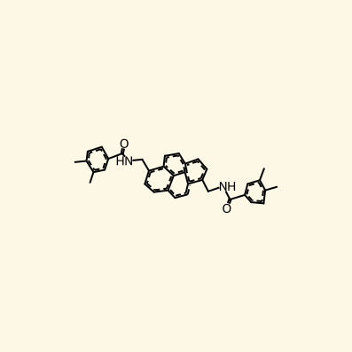 Cc1ccc(C(=O)NCc2ccc3ccc4c(CNC(=O)c5ccc(C)c(C)c5)ccc5ccc2c3c54)cc1C